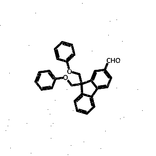 O=Cc1ccc2c(c1)C(COc1ccccc1)(COc1ccccc1)c1ccccc1-2